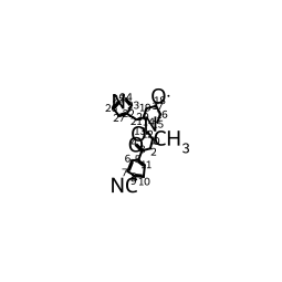 CC(CC(=O)c1ccc(C#N)cc1)C(=O)N1CC[C@@H]([O])CC1Cc1ccncc1